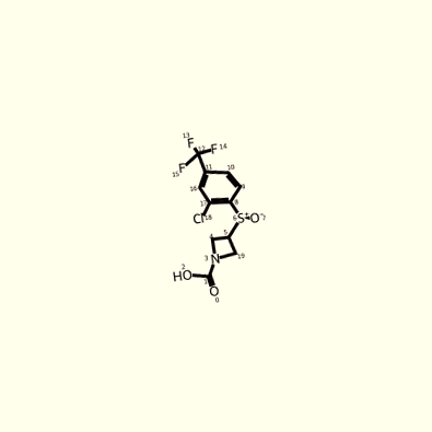 O=C(O)N1CC([S@+]([O-])c2ccc(C(F)(F)F)cc2Cl)C1